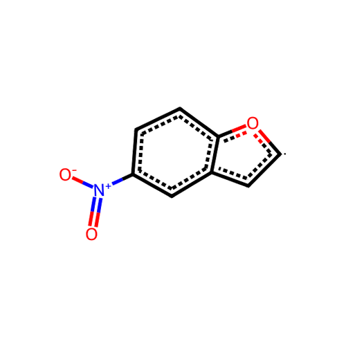 O=[N+]([O-])c1ccc2o[c]cc2c1